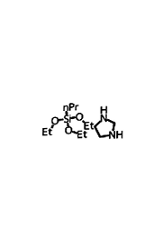 C1CNCN1.CCC[Si](OCC)(OCC)OCC